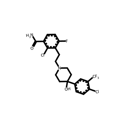 NC(=O)c1ccc(F)c(CCN2CCC(O)(c3ccc(Cl)c(C(F)(F)F)c3)CC2)c1Cl